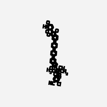 CC1(C)[C@H](Oc2ccc(C#N)c(Cl)c2)C(C)(C)[C@H]1N1Cc2cc(N3CCN(C4CCN(c5ccc6c(c5)C(=O)C(C5CCC(=O)NC5=O)C6=O)CC4)CC3)ccc2C1=O